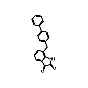 O=C1Nc2c(Cc3ccc(-c4ccccc4)cc3)cccc2C1=O